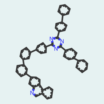 c1ccc(-c2ccc(-c3nc(-c4ccc(-c5ccccc5)cc4)nc(-c4ccc(-c5cccc(-c6cccc(-c7ccc8c(c7)ncc7ccccc78)c6)c5)cc4)n3)cc2)cc1